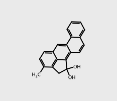 Cc1ccc2cc3c(ccc4ccccc43)c3c2c1CC3(O)O